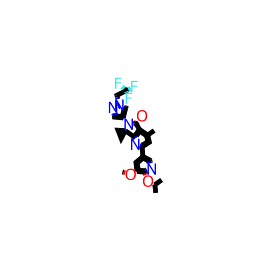 COc1cc(-c2cc(C)c3c(n2)C2(CC2)N(c2cnn(CC(F)(F)F)c2)C3=O)cnc1OC(C)C